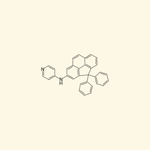 c1ccc(C2(c3ccccc3)c3cccc4ccc5cc(Nc6ccncc6)cc2c5c34)cc1